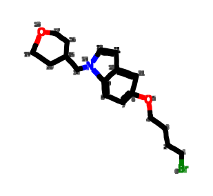 BrCCCCOc1ccc2c([c]cn2CC2CCOCC2)c1